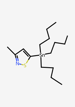 CCC[CH2][Sn]([CH2]CCC)([CH2]CCC)[c]1cc(C)ns1